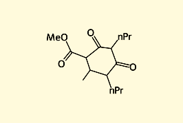 CCCC1C(=O)C(CCC)C(C)C(C(=O)OC)C1=O